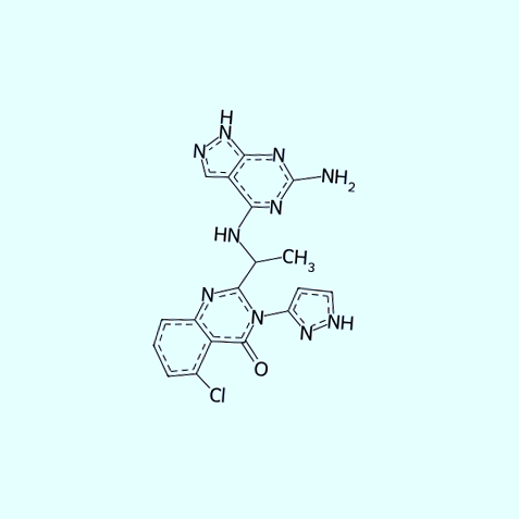 CC(Nc1nc(N)nc2[nH]ncc12)c1nc2cccc(Cl)c2c(=O)n1-c1cc[nH]n1